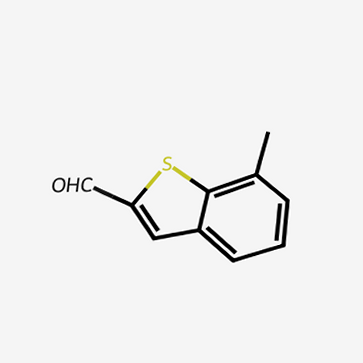 Cc1cccc2cc(C=O)sc12